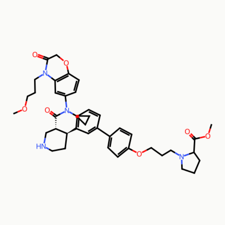 COCCCN1C(=O)COc2ccc(N(C(=O)[C@H]3CNCC[C@@H]3c3cccc(-c4ccc(OCCCN5CCCC5C(=O)OC)cc4)c3)C3CC3)cc21